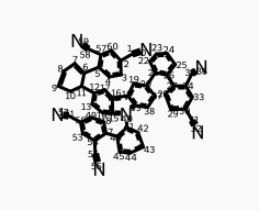 N#Cc1ccc(C2=CC=CCC2c2ccc3c(c2)c2cc(-c4ccccc4-c4ccc(C#N)cc4C#N)ccc2n3-c2ccccc2-c2ccc(C#N)cc2C#N)c(C#N)c1